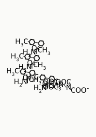 Cc1ccc2c(c1)OC(C)([I+]N)c1ccccc1-2.Cc1ccc2c(c1)OC(C)([I+]N)c1ccccc1-2.Cc1ccc2c(c1)OC(C)([I+]N)c1ccccc1-2.Cc1ccc2c(c1)OC(C)([I+]N)c1ccccc1-2.O=C([O-])CN(CCN(CC(=O)[O-])CC(=O)[O-])CC(=O)[O-]